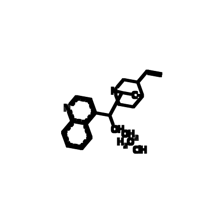 C=CC1CN2CCC1CC2C(O)c1ccnc2ccccc12.Cl.O.O